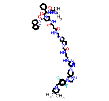 CN[C@@H](C)C(=O)N[C@H](C(=O)N1C[C@@H](NC(=O)CCC(=O)NCCN2CC[C@]3(CCN(CC(=O)NCCCNc4cc(N5CCC6(CC5)CN(c5cc(F)c(CN7CCC(C)(C)CC7)cc5F)CCN6)ncn4)C3)C2)C[C@H]1C(=O)N[C@H]1CCCc2ccccc21)C1CCCCC1